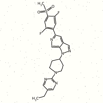 CCc1cnc(N2CCC(n3ncc4cc(-c5cc(F)c(S(C)(=O)=O)cc5F)ncc43)CC2)nc1